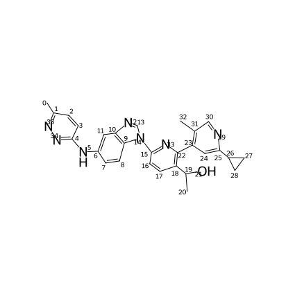 Cc1ccc(Nc2ccc3c(c2)ncn3-c2ccc(C(C)O)c(-c3cc(C4CC4)ncc3C)n2)nn1